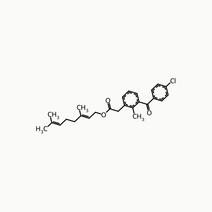 CC(C)=CCC/C(C)=C/COC(=O)Cc1cccc(C(=O)c2ccc(Cl)cc2)c1C